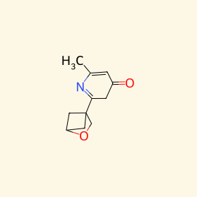 CC1=CC(=O)CC(C23COC(C2)C3)=N1